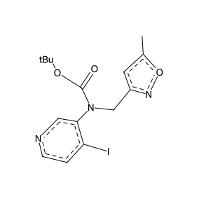 Cc1cc(CN(C(=O)OC(C)(C)C)c2cnccc2I)no1